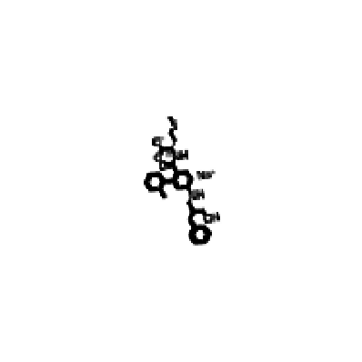 CSCC[C@H](NC(=O)c1ccc(NCC(CO)Cc2ccccc2)cc1-c1ccccc1C)C(=O)[O-].[Na+]